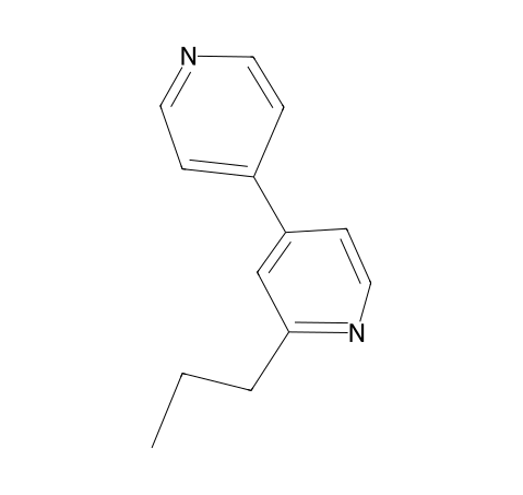 CCCc1cc(-c2ccncc2)ccn1